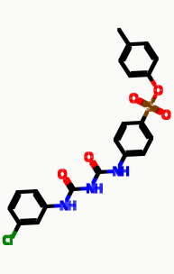 Cc1ccc(OS(=O)(=O)c2ccc(NC(=O)NC(=O)Nc3cccc(Cl)c3)cc2)cc1